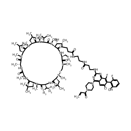 C=CC(=O)N1CCN(c2nc(NCCC(=O)NCCNC(=O)CCC[C@@H](C)[C@@H](O)[C@H]3C(=O)N[C@@H](CC)C(=O)N(C)CCN(C)[C@@H](CC(C)C)C(=O)N[C@@H](C(C)C)C(=O)N(C)[C@@H](CC(C)C)C(=O)N[C@@H](C)C(=O)N[C@H](C)C(=O)N(C)[C@@H](CC(C)C)C(=O)N(C)[C@@H](CC(C)C)C(=O)N(C)[C@@H](C(C)C)C(=O)N3C)nc3c(F)c(-c4c(O)cccc4F)c(Cl)cc23)CC1